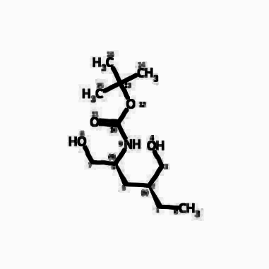 CC[C@H](CO)C[C@@H](CO)NC(=O)OC(C)(C)C